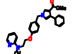 COC(=O)c1cn(Cc2ccc(OCCN(C)c3ccccn3)cc2)cc1-c1ccccc1